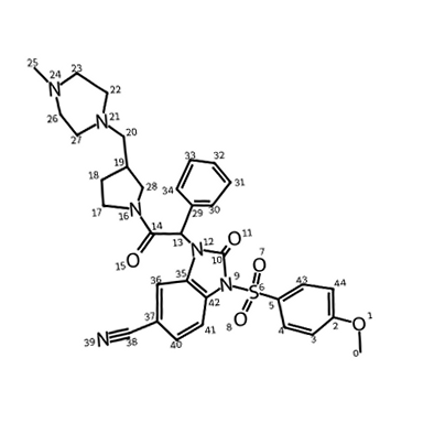 COc1ccc(S(=O)(=O)n2c(=O)n(C(C(=O)N3CCC(CN4CCN(C)CC4)C3)c3ccccc3)c3cc(C#N)ccc32)cc1